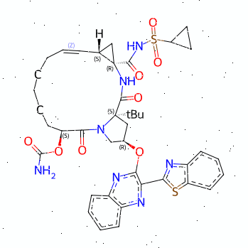 CC(C)(C)[C@]12C[C@@H](Oc3nc4ccccc4nc3-c3nc4ccccc4s3)CN1C(=O)[C@@H](OC(N)=O)CCCCC/C=C\[C@@H]1C[C@@]1(C(=O)NS(=O)(=O)C1CC1)NC2=O